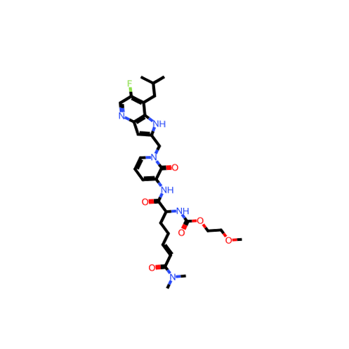 COCCOC(=O)NC(CC/C=C/C(=O)N(C)C)C(=O)Nc1cccn(Cc2cc3ncc(F)c(CC(C)C)c3[nH]2)c1=O